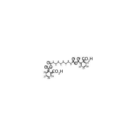 O=C(CCCCCCCCC(=O)OC(=O)c1ccccc1C(=O)O)OC(=O)c1ccccc1C(=O)O